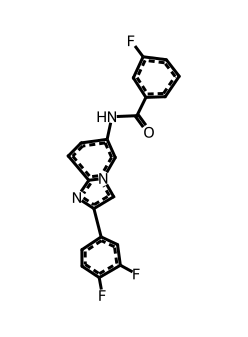 O=C(Nc1ccc2nc(-c3ccc(F)c(F)c3)cn2c1)c1cccc(F)c1